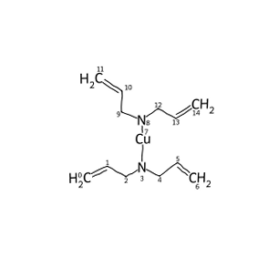 C=CC[N](CC=C)[Cu][N](CC=C)CC=C